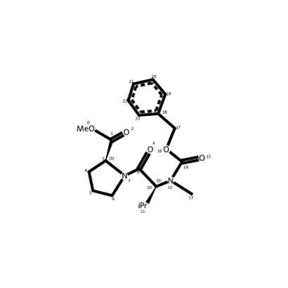 COC(=O)[C@@H]1CCCN1C(=O)[C@H](C(C)C)N(C)C(=O)OCc1ccccc1